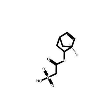 O=C(CS(=O)(=O)O)OC1CC2C=C[C@@H]1C2